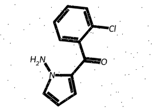 Nn1cccc1C(=O)c1ccccc1Cl